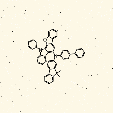 CC1(C)c2ccccc2-c2ccc(N(c3ccc(-c4ccccc4)cc3)c3cc4c5ccccc5oc4c4c3c3ccccc3n4-c3ccccc3)cc21